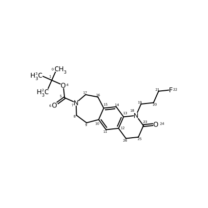 CC(C)(C)OC(=O)N1CCc2cc3c(cc2CC1)N(CCCF)C(=O)CC3